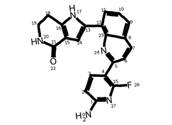 Nc1ccc(-c2ccc3cccc(-c4cc5c([nH]4)CCNC5=O)c3n2)c(F)n1